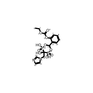 CCOC(=O)Oc1ccccc1C1OP(=O)(O)C(O)(Cn2ccnc2)P(=O)(O)O1